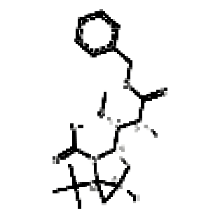 CO[C@H]([C@@H](C)C(=O)OCc1ccccc1)[C@@H]1C[C@H]2C[C@]2(C(C)(C)C)N1C(=O)O